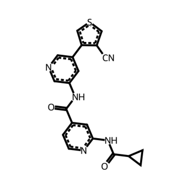 N#Cc1cscc1-c1cncc(NC(=O)c2ccnc(NC(=O)C3CC3)c2)c1